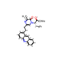 COC(=O)[C@H](CC(C)C)n1cc(CCc2cccc3nc4ccccc4cc23)nc(C)c1=O